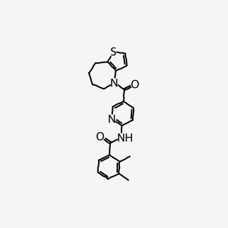 Cc1cccc(C(=O)Nc2ccc(C(=O)N3CCCCc4sccc43)cn2)c1C